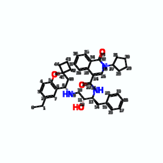 CCc1ccc2c(c1)[C@@H](NC[C@@H](O)[C@H](Cc1ccccc1)NC(=O)c1cn(C3CCCC3)c(=O)c3ccccc13)CC1(CCC1)O2